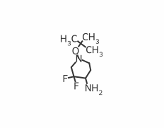 CC(C)(C)ON1CCC(N)C(F)(F)C1